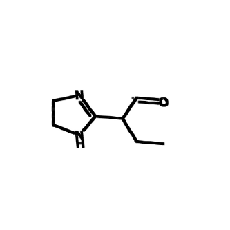 CCC([C]=O)C1=NCCN1